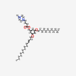 CCCCCCCCCCCCCCCOc1cc(COC(=O)CCCN2CCN(C)CC2)cc(OCCCCCCCCCCCC)c1